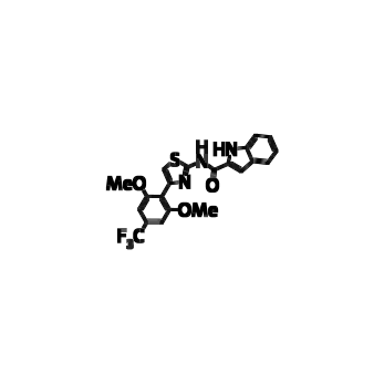 COc1cc(C(F)(F)F)cc(OC)c1-c1csc(NC(=O)c2cc3ccccc3[nH]2)n1